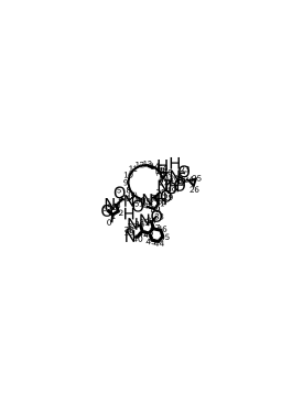 Cc1cc(C(=O)N[C@H]2CCCCCC=C[C@@H]3C[C@@]3(C(=O)NS(=O)(=O)C3CC3)NC(=O)[C@@H]3C[C@@H](Oc4nc5ncncc5c5ccccc45)CN3C2=O)no1